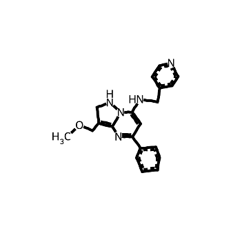 COCC1=C2N=C(c3ccccc3)C=C(NCc3ccncc3)N2NC1